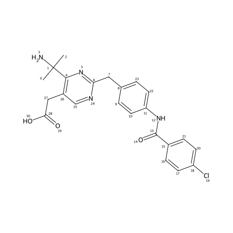 CC(C)(N)c1nc(Cc2ccc(NC(=O)c3ccc(Cl)cc3)cc2)ncc1CC(=O)O